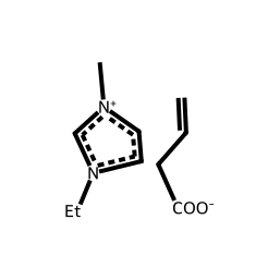 C=CCC(=O)[O-].CCn1cc[n+](C)c1